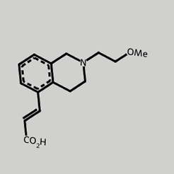 COCCN1CCc2c(C=CC(=O)O)cccc2C1